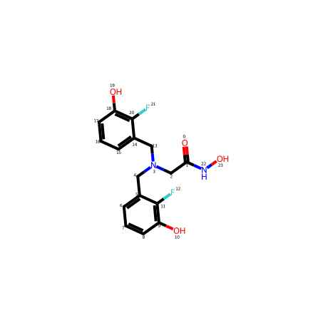 O=C(CN(Cc1cccc(O)c1F)Cc1cccc(O)c1F)NO